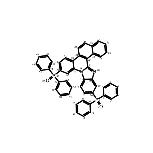 O=P(c1ccccc1)(c1ccccc1)c1ccc2c(c1)nc1c3c4ccccc4ccc3c3ccc(P(=O)(c4ccccc4)c4ccccc4)cc3n21